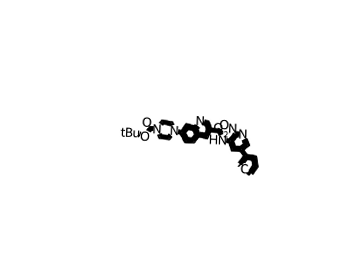 CC(C)(C)OC(=O)N1CCN(c2ccc3cc(C(=O)Nc4cc(-c5ccccc5)cnc4[N+](=O)[O-])cnc3c2)CC1